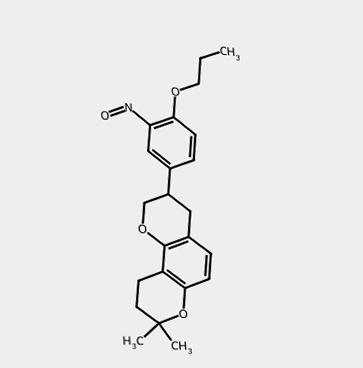 CCCOc1ccc(C2COc3c(ccc4c3CCC(C)(C)O4)C2)cc1N=O